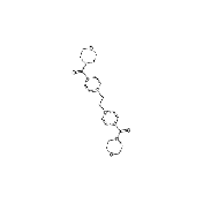 O=C(c1ccc(SSc2ccc(C(=O)N3CCOCC3)cc2)cc1)N1CCOCC1